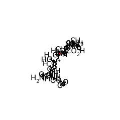 Cc1c(Nc2nc3ccccc3s2)nnc2c1CCCN2c1ccc(-c2cnn(CC34CC5(C)CC(C)(CC(CCC[N+](C)(CCCO)Cc6ccc(NC(=O)[C@H](CCCNC(N)=O)NC(=O)[C@@H](NC(=O)CCOCCN7C(=O)C=CC7=O)C(C)C)cc6)(C5)C3)C4)c2C)c(C(=O)O)n1